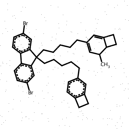 CC1C=C(CCCCCC2(CCCCCc3ccc4c(c3)CC4)c3cc(Br)ccc3-c3ccc(Br)cc32)C=C2CCC21